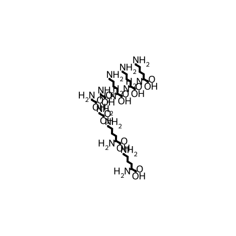 NCC(=O)O.NCC(=O)O.NCC(=O)O.NCCCCC(N)C(=O)O.NCCCCC(N)C(=O)O.NCCCCC(N)C(=O)O.NCCCCC(N)C(=O)O.NCCCCC(N)C(=O)O